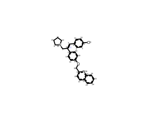 Clc1ccc(/C=C(/CN2CCCC2)c2ccc(OCc3ccc4ccccc4n3)cc2)cc1